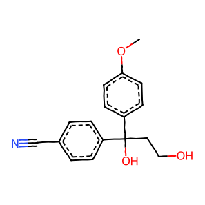 COc1ccc(C(O)(CCO)c2ccc(C#N)cc2)cc1